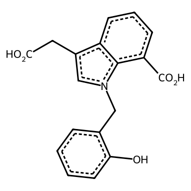 O=C(O)Cc1cn(Cc2ccccc2O)c2c(C(=O)O)cccc12